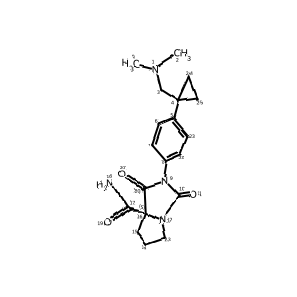 CN(C)CC1(c2ccc(N3C(=O)N4CC[CH][C@]4(C(N)=O)C3=O)cc2)CC1